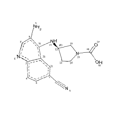 N#Cc1ccc2ncc(N)c(N[C@@H]3CCN(C(=O)O)C3)c2c1